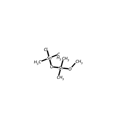 C[O][Sn]([CH3])([CH3])[O][Sn]([CH3])([CH3])[Cl]